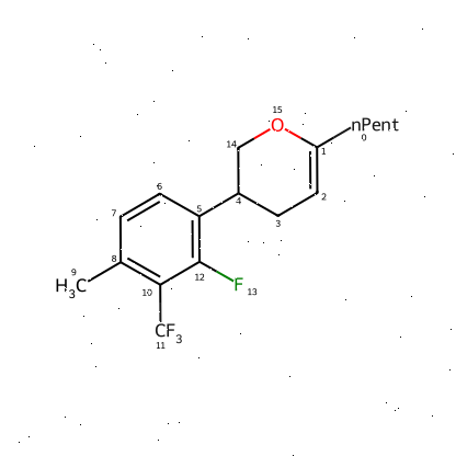 CCCCCC1=CCC(c2ccc(C)c(C(F)(F)F)c2F)CO1